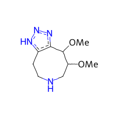 COC1CNCCc2[nH]nnc2C1OC